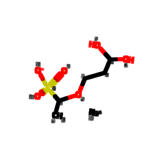 CC(OCCC(O)O)S(=O)(=O)[O-].[Na+]